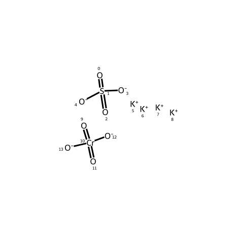 O=S(=O)([O-])[O-].[K+].[K+].[K+].[K+].[O]=[Cr](=[O])([O-])[O-]